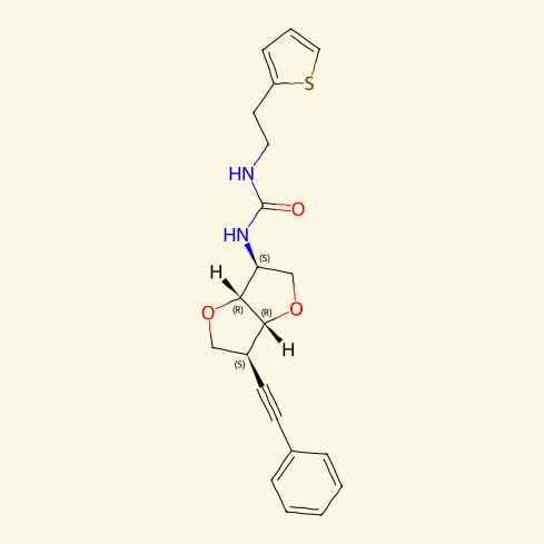 O=C(NCCc1cccs1)N[C@H]1CO[C@H]2[C@@H]1OC[C@@H]2C#Cc1ccccc1